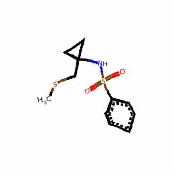 CSCC1(NS(=O)(=O)c2ccccc2)CC1